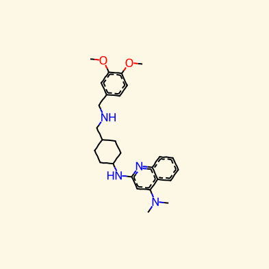 COc1ccc(CNCC2CCC(Nc3cc(N(C)C)c4ccccc4n3)CC2)cc1OC